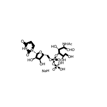 CC(=O)N[C@@H](C=O)[C@@H](O)[C@H](OP(=O)(OC[C@H]1O[C@@H](n2ccc(=O)[nH]c2=O)[C@H](O)[C@@H]1O)OP(=O)(O)O)[C@H](O)CO.[NaH]